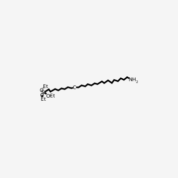 CCO[Si](CCCCCCCCCCCCCCCCCCCCCCCCCN)(OCC)OCC